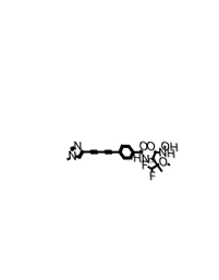 COC(C)(C(F)F)[C@H](NC(=O)c1ccc(C#CC#Cc2cn(C)cn2)cc1)C(=O)NO